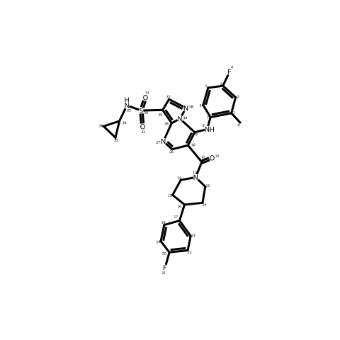 Cc1cc(F)ccc1Nc1c(C(=O)N2CCC(c3ccc(F)cc3)CC2)cnc2c(S(=O)(=O)NC3CC3)cnn12